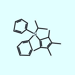 CC1=C(C)C(C)C([Si](c2ccccc2)(c2ccccc2)C(C)C)=C1C